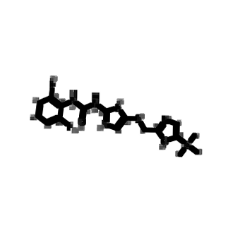 C[Si](C)(C)c1cnc(CSc2cnc(NC(=O)Nc3c(F)cccc3F)s2)o1